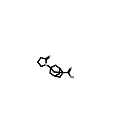 O=C1CCCN1C12CC3CC(C1)C(C(=O)O)(C3)C2